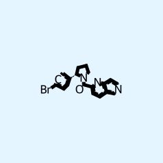 O=C(c1ccc2cnccc2n1)N1CCC[C@H]1c1ccc(Br)cc1